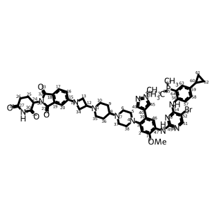 COc1cc(N2CCN(C3CCN(C4CN(c5ccc6c(c5)C(=O)N(C5CCC(=O)NC5=O)C6=O)C4)CC3)CC2)c(-c2cnn(C)c2)cc1Nc1ncc(Br)c(Nc2ccc(C3CC3)cc2P(C)C)n1